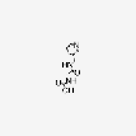 O=C(O)NCC(=O)NCc1cccnc1